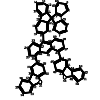 c1ccc(C2(c3ccccc3)c3ccccc3-c3ccc(-c4c5cccc(-c6ccc7oc8ccccc8c7c6)c5cc5c(-c6ccc7oc8ccccc8c7c6)cccc45)cc32)cc1